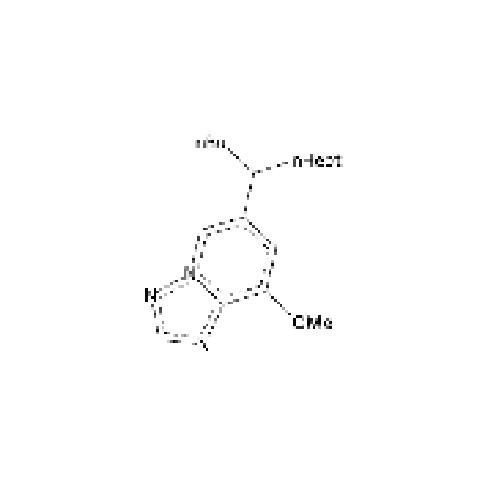 CCCCCCCC(CCCC)c1cc(OC)c2ncnn2c1